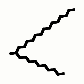 [CH2]C(CCCCCCCCCC)CCCCCCCCCCCCCC